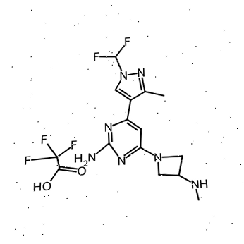 CNC1CN(c2cc(-c3cn(C(F)F)nc3C)nc(N)n2)C1.O=C(O)C(F)(F)F